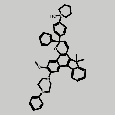 COc1cc2c3c(c4c(c2cc1N1CCN(c2ccccc2)CC1)-c1ccccc1C4(C)C)C=CC(c1ccccc1)(c1ccc([N+]2(O)CCCCC2)cc1)O3